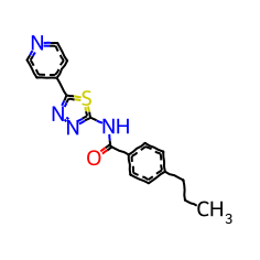 CCCc1ccc(C(=O)Nc2nnc(-c3ccncc3)s2)cc1